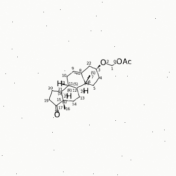 CC(=O)OCO[C@H]1CC[C@@]2(C)C(=CC[C@@H]3[C@@H]2CC[C@]2(C)C(=O)CC[C@@H]32)C1